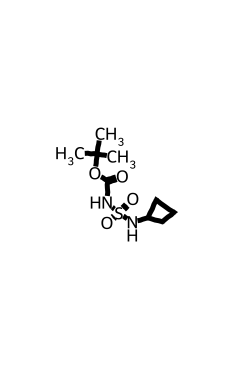 CC(C)(C)OC(=O)NS(=O)(=O)NC1CCC1